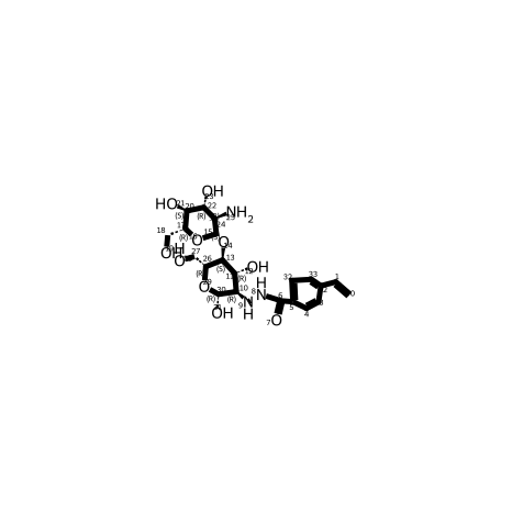 C=Cc1ccc(C(=O)NN[C@@H]2[C@@H](O)[C@H](O[C@@H]3O[C@H](CO)[C@@H](O)[C@H](O)[C@H]3N)[C@@H](CO)O[C@H]2O)cc1